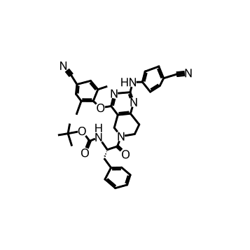 Cc1cc(C#N)cc(C)c1Oc1nc(Nc2ccc(C#N)cc2)nc2c1CN(C(=O)[C@H](Cc1ccccc1)NC(=O)OC(C)(C)C)CC2